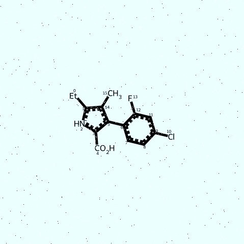 CCc1[nH]c(C(=O)O)c(-c2ccc(Cl)cc2F)c1C